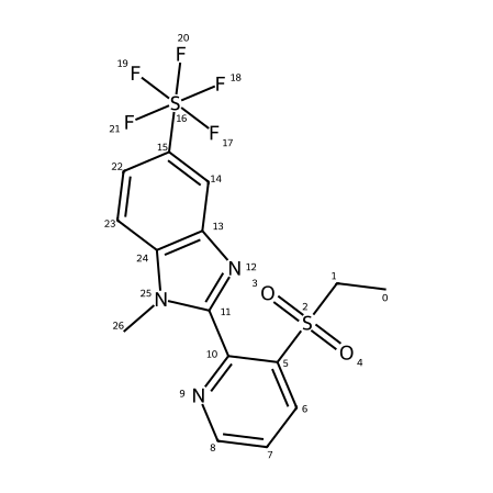 CCS(=O)(=O)c1cccnc1-c1nc2cc(S(F)(F)(F)(F)F)ccc2n1C